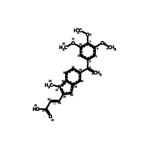 C=C(c1cc(OC)c(OC)c(OC)c1)c1ccc2c(c1)cc(/C=C/C(=O)O)n2C